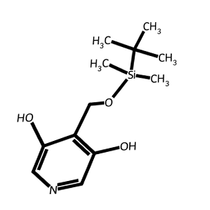 CC(C)(C)[Si](C)(C)OCc1c(O)cncc1O